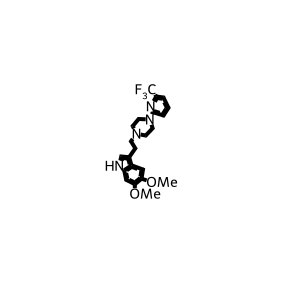 COc1cc2[nH]cc(CCN3CCN(c4cccc(C(F)(F)F)n4)CC3)c2cc1OC